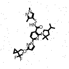 Cc1nn(C)cc1SNC(=O)c1ccc(-n2ccc(OCC3(C(F)(F)F)CC3)n2)nc1N1CC(C(C)C)CC1(C)C